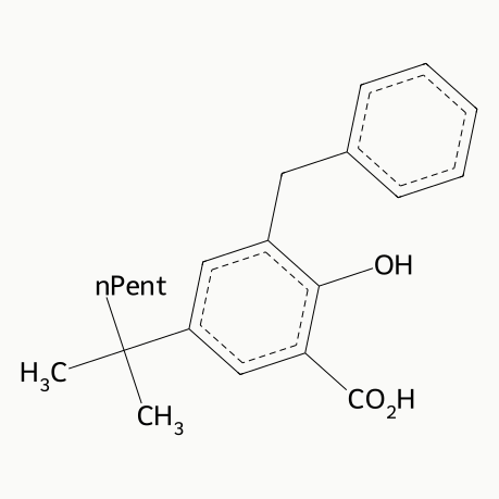 CCCCCC(C)(C)c1cc(Cc2ccccc2)c(O)c(C(=O)O)c1